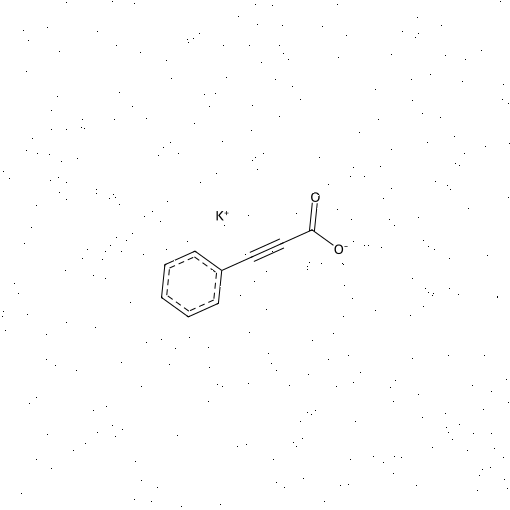 O=C([O-])C#Cc1ccccc1.[K+]